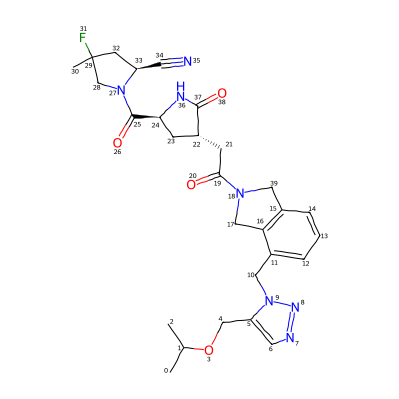 CC(C)OCc1cnnn1Cc1cccc2c1CN(C(=O)C[C@@H]1C[C@@H](C(=O)N3CC(C)(F)C[C@H]3C#N)NC1=O)C2